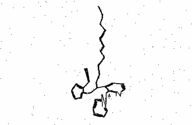 C=Cc1ccccc1CC(CCCCCCCCCCC)c1cccnc1-[n+]1ccccc1